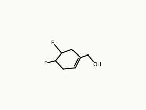 OCC1=CCC(F)C(F)C1